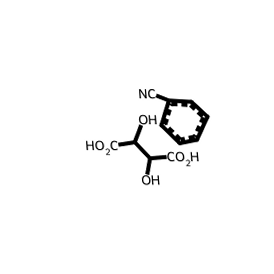 N#Cc1ccccc1.O=C(O)C(O)C(O)C(=O)O